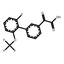 O=C(O)C(=O)c1cccc(-c2c(F)cccc2OC(F)(F)F)c1